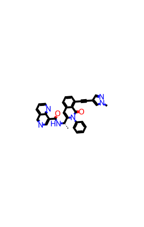 C[C@H](NC(=O)c1cncc2cccnc12)c1cc2cccc(C#Cc3cnn(C)c3)c2c(=O)n1-c1ccccc1